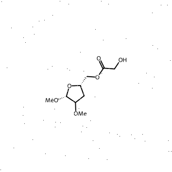 COC1C[C@@H](COC(=O)CO)O[C@H]1OC